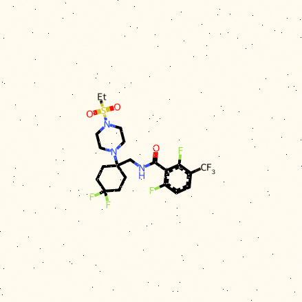 CCS(=O)(=O)N1CCN(C2(CNC(=O)c3c(F)ccc(C(F)(F)F)c3F)CCC(F)(F)CC2)CC1